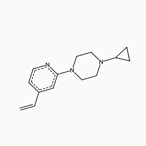 C=Cc1ccnc(N2CCN(C3CC3)CC2)c1